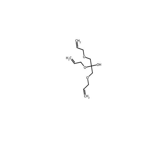 C=CCOCC(O)(COCC=C)OCC=C